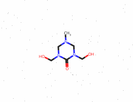 CN1CN(CO)C(=O)N(CO)C1